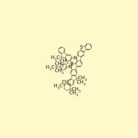 CC(C)(C)c1ccc(N2B3c4cc5c(cc4-n4c6cc7sc8ccccc8c7cc6c6ccc(c3c64)-c3cc4c(cc32)-c2cc3c(cc2C4(C)C)C(C)(C)CCC3(C)C)-c2ccccc2C5(C)C)cc1